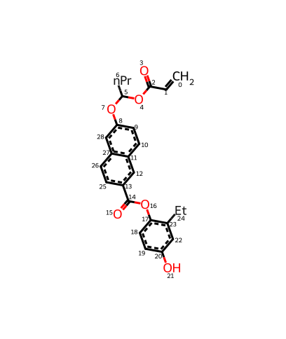 C=CC(=O)OC(CCC)Oc1ccc2cc(C(=O)Oc3ccc(O)cc3CC)ccc2c1